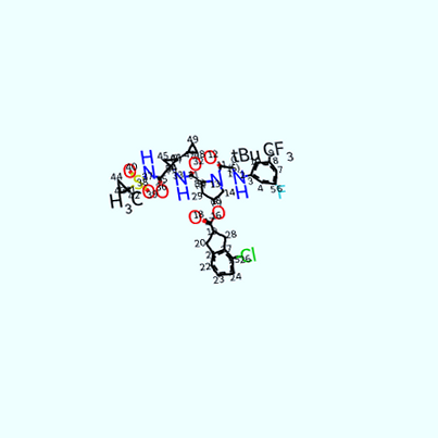 CC(C)(C)[C@H](Nc1cc(F)cc(C(F)(F)F)c1)C(=O)N1C[C@H](OC(=O)C2Cc3cccc(Cl)c3C2)C[C@H]1C(=O)N[C@]1(C(=O)NS(=O)(=O)C2(C)CC2)C[C@H]1C1CC1